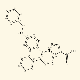 O=C(O)c1cnn2c(-c3ccc(OCc4ccccc4)cc3)c(-c3ccccc3)cnc12